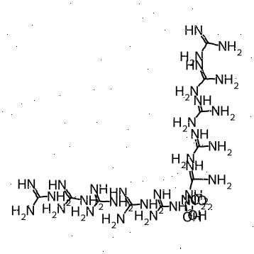 N=C(N)N.N=C(N)N.N=C(N)N.N=C(N)N.N=C(N)N.N=C(N)N.N=C(N)N.N=C(N)N.N=C(N)N.N=C(N)N.O=[N+]([O-])O.O=[N+]([O-])O